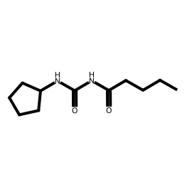 CCCCC(=O)NC(=O)NC1CCCC1